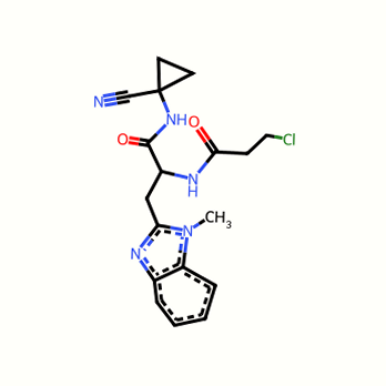 Cn1c(CC(NC(=O)CCCl)C(=O)NC2(C#N)CC2)nc2ccccc21